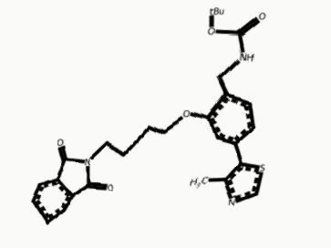 Cc1ncsc1-c1ccc(CNC(=O)OC(C)(C)C)c(OCCCCN2C(=O)c3ccccc3C2=O)c1